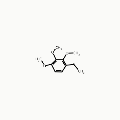 C[C]c1ccc(OC)c(OC)c1OC